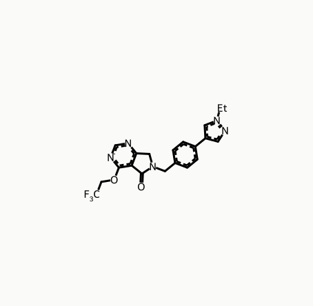 CCn1cc(-c2ccc(CN3Cc4ncnc(OCC(F)(F)F)c4C3=O)cc2)cn1